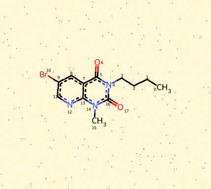 CCCCn1c(=O)c2cc(Br)cnc2n(C)c1=O